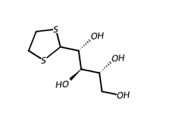 OC[C@@H](O)[C@@H](O)[C@@H](O)C1SCCS1